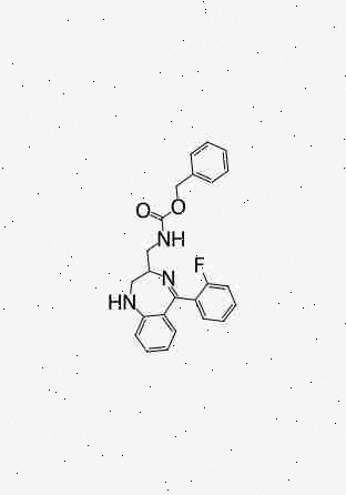 O=C(NCC1CNc2ccccc2C(c2ccccc2F)=N1)OCc1ccccc1